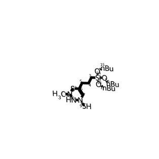 CCCCO[Si](CCCc1cn(S)[nH]n(C)s1)(OCCCC)OCCCC